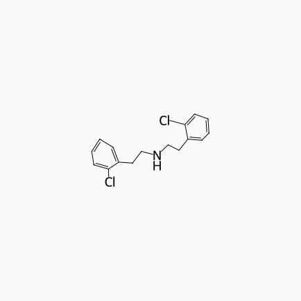 Clc1ccccc1CCNCCc1ccccc1Cl